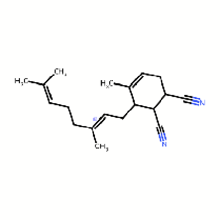 CC(C)=CCC/C(C)=C/CC1C(C)=CCC(C#N)C1C#N